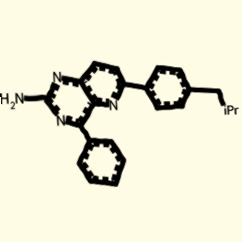 CC(C)Cc1ccc(-c2ccc3nc(N)nc(-c4ccccc4)c3n2)cc1